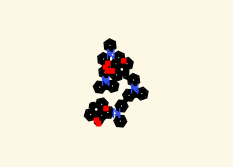 CC1(C)c2ccccc2C2(c3ccccc3-c3cc(N(c4ccccc4)c4ccc(-c5ccc6c(c5)c5ccccc5n6-c5cccc(CC6(C)c7ccccc7C7(c8ccccc8-c8c(N(c9ccccc9)c9cccc(-c%10ccc(-n%11c%12ccccc%12c%12ccccc%12%11)cc%10)c9)cccc87)c7ccccc76)c5)cc4)ccc32)c2ccccc21